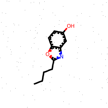 CCCCc1nc2cc(O)ccc2o1